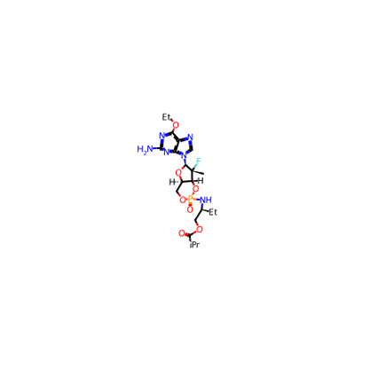 CCOc1nc(N)nc2c1ncn2[C@@H]1O[C@@H]2COP(=O)(N[C@@H](CC)COC(=O)C(C)C)O[C@H]2[C@@]1(C)F